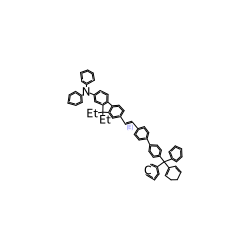 CCC1(CC)c2cc(/C=C/c3ccc(-c4ccc(C(C5=CCCC=C5)(c5ccccc5)c5ccccc5)cc4)cc3)ccc2-c2ccc(N(c3ccccc3)c3ccccc3)cc21